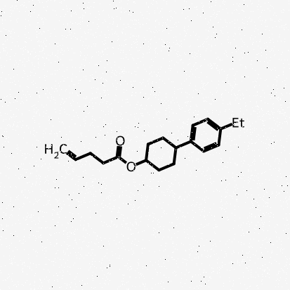 C=CCCC(=O)OC1CCC(c2ccc(CC)cc2)CC1